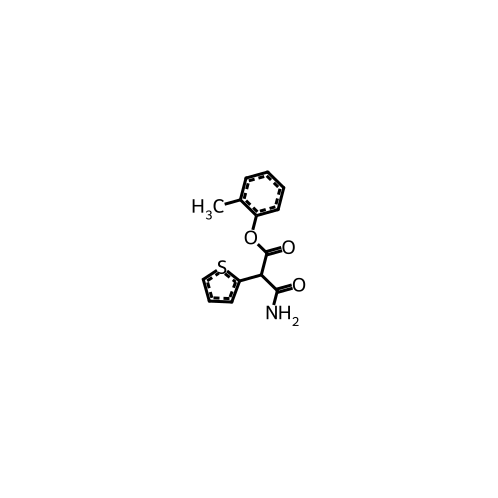 Cc1ccccc1OC(=O)C(C(N)=O)c1cccs1